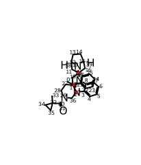 Cc1nc2ccccc2n1C1C[C@H]2CC[C@@H](C1)N2CCC1(c2ccccc2)CCN(C(=O)C2(C)CC2)CC1